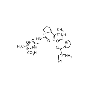 CC(C)C[C@H](N)C(=O)N1CCC[C@H]1C(=O)N[C@@H](C)C(=O)N1CCC[C@H]1C(=O)NCC(=O)N[C@H](C(=O)O)[C@@H](C)O